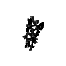 CCN(Cc1cc2c(s1)C(=O)c1ccncc1C2=O)C1CCCCC1